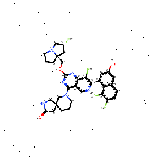 O=C1CC2(CCCN(c3nc(OC[C@@]45CCCN4C[C@H](F)C5)nc4c(F)c(-c5cc(O)cc6ccc(F)c(F)c56)ncc34)C2)CN1